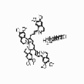 COc1cc2c(cc1OC)C(CCCC(CCCC(CCCC1NCCc3cc(OC)c(OC)cc31)C1NCCc3cc(OC)c(OC)cc31)C1NCCc3cc(OC)c(OC)cc31)NCC2.Cl.Cl.Cl.Cl.O.O.O.O